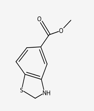 COC(=O)c1ccc2c(c1)NCS2